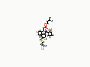 CC(C)=CCOCCC(c1ccccc1)C(O)(c1ccccc1)c1ccc(SCCN(C)C)cc1